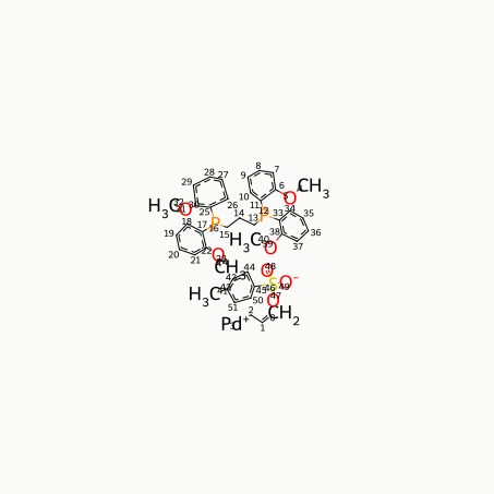 C=C[CH2][Pd+].COc1ccccc1P(CCCP(c1ccccc1OC)c1ccccc1OC)c1ccccc1OC.Cc1ccc(S(=O)(=O)[O-])cc1